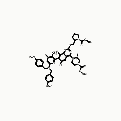 COc1ccc(CN(Cc2ccc(OC)cc2)c2cc(C)c(C(F)(F)F)c(-c3c(Cl)cc4c(N5CCN(C(=O)OC(C)(C)C)C[C@@H]5C)nc(OCC5CCCN5C(=O)OC(C)(C)C)nc4c3F)n2)cc1